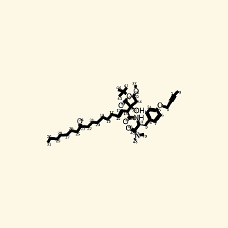 CC#CCOc1ccc(C[C@H](NC(=O)[C@@H](/C=C/CCCCCCC(=O)CCCCCCC)[C@@](O)(CCOC)C(=O)OC(C)(C)C)C(=O)N(C)C)cc1